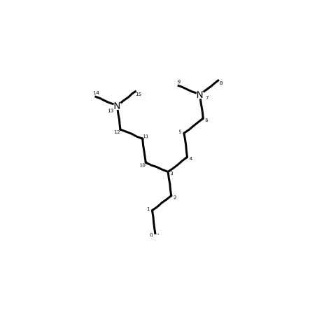 [CH2]CCC(CCCN(C)C)CCCN(C)C